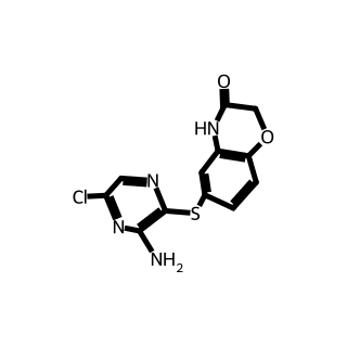 Nc1nc(Cl)cnc1Sc1ccc2c(c1)NC(=O)CO2